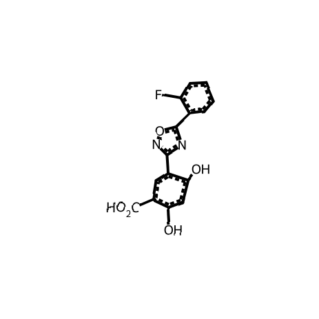 O=C(O)c1cc(-c2noc(-c3ccccc3F)n2)c(O)cc1O